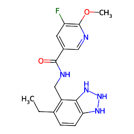 CCc1ccc2c(c1CNC(=O)c1cnc(OC)c(F)c1)NNN2